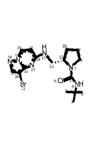 CC(C)(C)NC(=O)N1CCC[C@H]1CNc1ccn2ncc(Br)c2n1